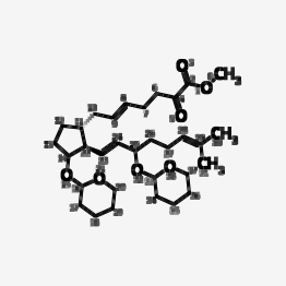 COC(=O)C(=O)CCC=CC[C@H]1CCC(OC2CCCCO2)[C@@H]1C=CC(CCC=C(C)C)OC1CCCCO1